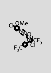 COc1cc(N2CCN(C(=O)Cn3nc(C(F)(F)F)c(Cl)c3-c3ccc(C(F)(F)F)cc3)CC2)ccc1Cl